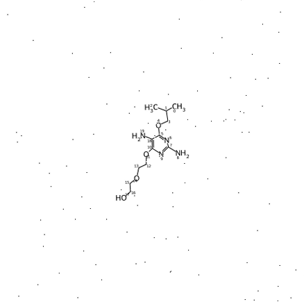 CC(C)COc1nc(N)nc(OCCOCCO)c1N